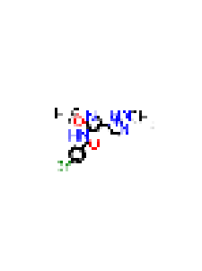 CNc1nccc(-c2cnc(OC)c(NC(=O)c3ccc(Br)cc3)c2)n1